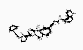 CN1C(=O)[C@@H](NC(=O)c2ncn(Cc3ccccc3)n2)COc2ccc(C#CCCOc3cccc4ncccc34)cc21